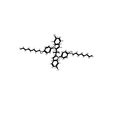 CCCCCCCCOc1ccc(-n2c(C(C)(C)c3cc4ccc(C)cc4n3-c3ccc(OCCCCCCCC)cc3)cc3ccc(C)cc32)cc1